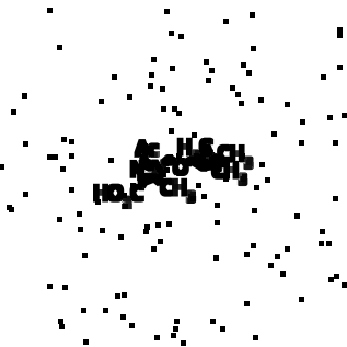 CC(=O)c1nc(C(=O)O)c(C)n1COCC[Si](C)(C)C